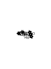 O=C(Nc1c2c(c(Cl)c3c1CCC3)CCC2)NS(=O)(=O)c1cnn2c1OCC1(CCC1)C2